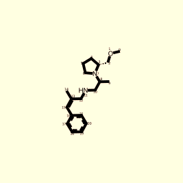 COC[C@H]1CCCN1C(C)CNCC(C)=Cc1ccccc1